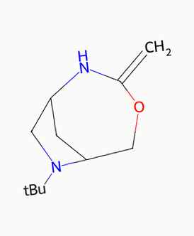 C=C1NC2CC(CO1)N(C(C)(C)C)C2